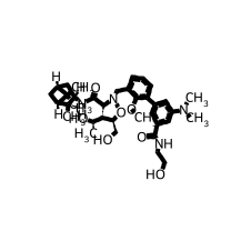 COc1c(CN2O[C@@H](CO)[C@H]([C@H](C)O)C2C(=O)N[C@H]2C[C@H]3C[C@@H]([C@@H]2C)C3(C)C)cccc1-c1cc(C(=O)NCCO)cc(N(C)C)c1